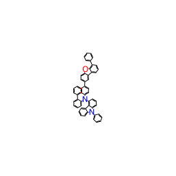 c1ccc(-c2ccccc2N(c2ccc(-c3ccc4oc5c(-c6ccccc6)cccc5c4c3)cc2)c2cccc3c2c2ccccc2n3-c2ccccc2)cc1